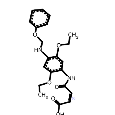 CCOc1cc(NC(=O)/C=C\C(=O)O)c(OCC)cc1NCOc1ccccc1